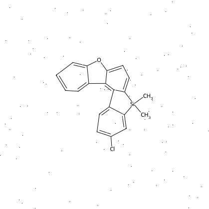 C[Si]1(C)c2cc(Cl)ccc2-c2c1ccc1oc3ccccc3c21